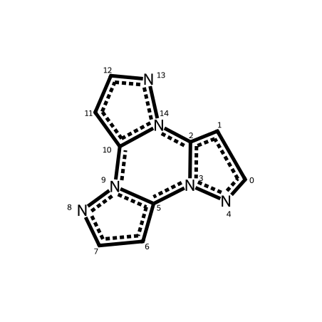 c1cc2n(n1)c1ccnn1c1ccnn21